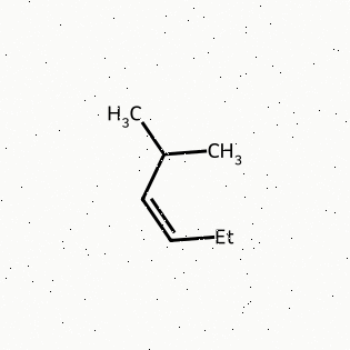 CC/C=C\C(C)C